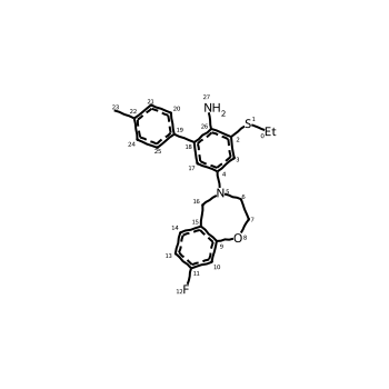 CCSc1cc(N2CCOc3cc(F)ccc3C2)cc(-c2ccc(C)cc2)c1N